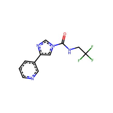 O=C(NCC(F)(F)F)n1cnc(-c2cccnc2)c1